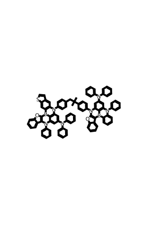 CC(C)(Cc1ccc(N2c3cc4ccsc4cc3B3c4oc5ccccc5c4N(c4ccccc4)c4cc(N(c5ccccc5)c5ccccc5)cc2c43)cc1)c1ccc(N2c3cc(N(c4ccccc4)c4ccccc4)cc4c3B(c3ccccc3N4c3ccccc3)c3c2oc2ccccc32)cc1